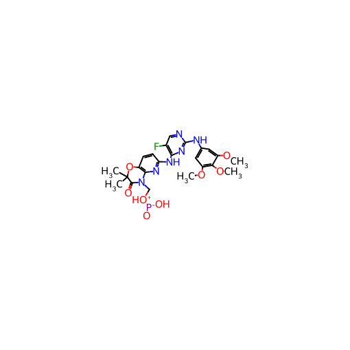 COc1cc(Nc2ncc(F)c(Nc3ccc4c(n3)N(C[OH+][P-](=O)O)C(=O)C(C)(C)O4)n2)cc(OC)c1OC